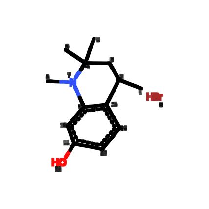 Br.CC1CC(C)(C)N(C)c2cc(O)ccc21